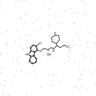 O[C@@H](CNC(CCC(F)(F)F)C1CCNCC1)COc1c(Cl)ccc2[nH]c3ccccc3c12